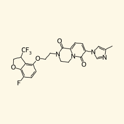 Cc1cn(-c2ccc3n(c2=O)CCN(CCOc2ccc(F)c4c2C(C(F)(F)F)CO4)C3=O)cn1